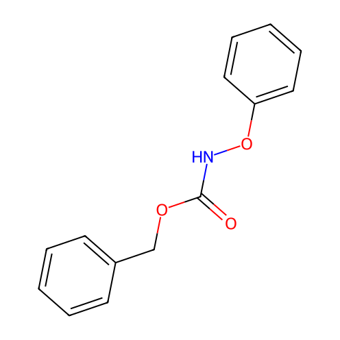 O=C(NOc1ccccc1)OCc1ccccc1